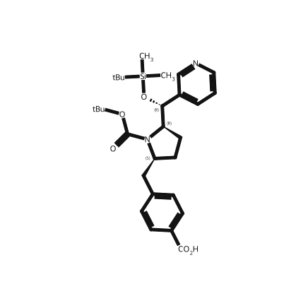 CC(C)(C)OC(=O)N1[C@H](Cc2ccc(C(=O)O)cc2)CC[C@@H]1[C@H](O[Si](C)(C)C(C)(C)C)c1cccnc1